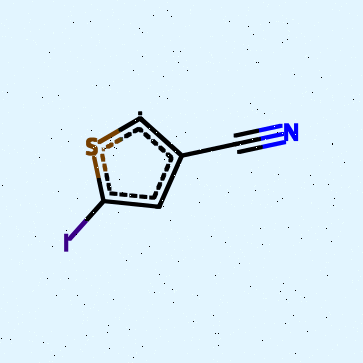 N#Cc1[c]sc(I)c1